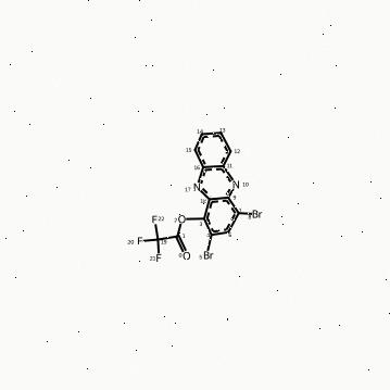 O=C(Oc1c(Br)cc(Br)c2nc3ccccc3nc12)C(F)(F)F